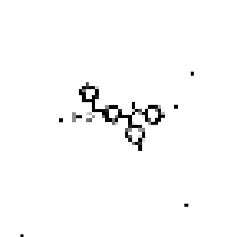 Cc1ccc(C(c2ccc(C(O)c3ccccc3)cc2)C(C)c2ccccc2)cc1